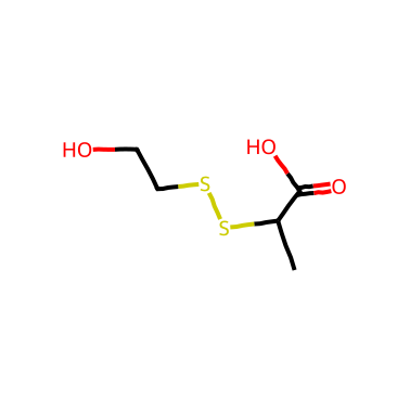 CC(SSCCO)C(=O)O